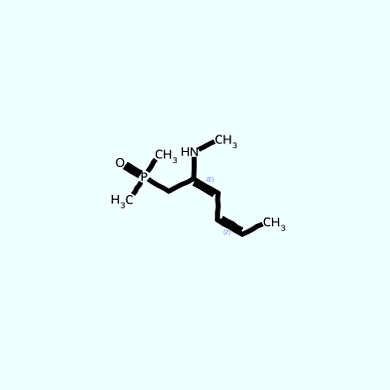 C/C=C\C=C(/CP(C)(C)=O)NC